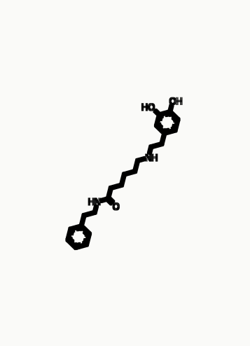 O=C(CCCCCNCCc1ccc(O)c(O)c1)NCCc1ccccc1